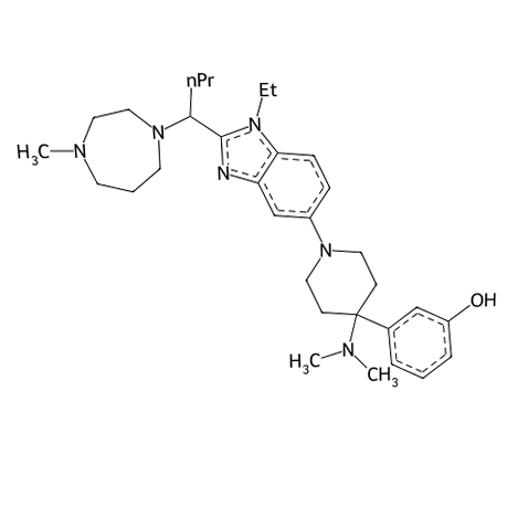 CCCC(c1nc2cc(N3CCC(c4cccc(O)c4)(N(C)C)CC3)ccc2n1CC)N1CCCN(C)CC1